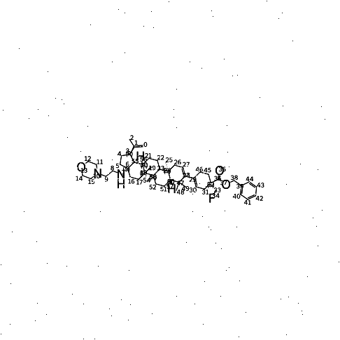 C=C(C)[C@@H]1CC[C@]2(NCCN3CCOCC3)CC[C@]3(C)[C@H](CCC4[C@@]5(C)CC=C(C6=CC[C@](CF)(C(=O)OCc7ccccc7)CC6)C(C)(C)[C@@H]5CC[C@]43C)C12